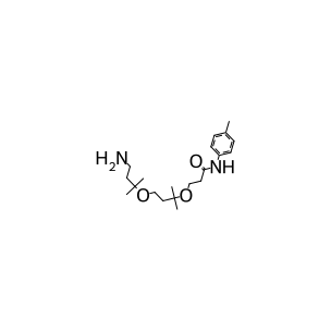 Cc1ccc(NC(=O)CCOC(C)(C)CCOC(C)(C)CCN)cc1